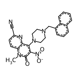 Cn1c(=O)c([N+](=O)[O-])c(N2CCN(Cc3cccc4ccccc34)CC2)c2nc(C#N)ccc21